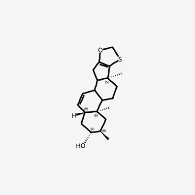 C[C@@H]1C[C@]2(C)C3CC[C@]4(C)C5=C(CC4C3C=C[C@H]2C[C@H]1O)OCS5